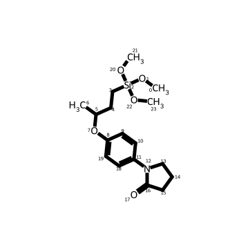 CO[Si](CCC(C)Oc1ccc(N2CCCC2=O)cc1)(OC)OC